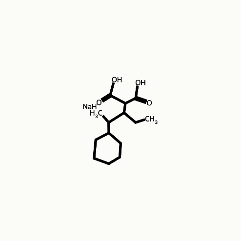 CCC(C(C(=O)O)C(=O)O)C(C)C1CCCCC1.[NaH]